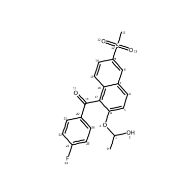 CC(O)Oc1ccc2cc(S(C)(=O)=O)ccc2c1C(=O)c1ccc(F)cc1